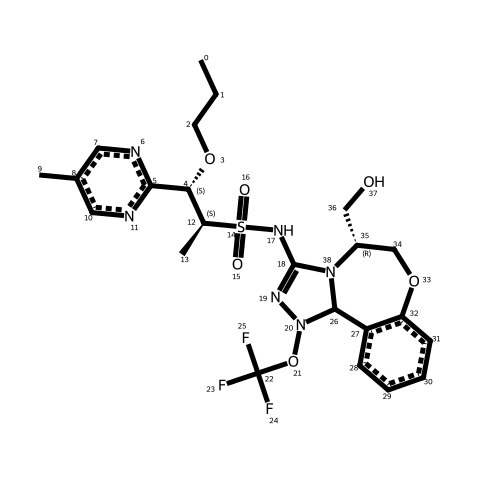 CCCO[C@@H](c1ncc(C)cn1)[C@H](C)S(=O)(=O)NC1=NN(OC(F)(F)F)C2c3ccccc3OC[C@@H](CO)N12